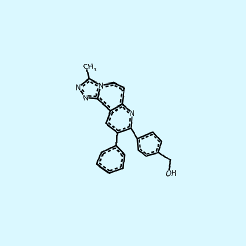 Cc1nnc2c3cc(-c4ccccc4)c(-c4ccc(CO)cc4)nc3ccn12